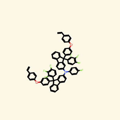 C=Cc1ccc(Oc2ccc(C3(c4ccc(F)c(F)c4F)c4ccccc4-c4ccc(N(c5ccc(F)cc5)c5ccc6c(c5)C(c5ccc(Oc7ccc(C=C)cc7)cc5)(c5ccc(F)c(F)c5F)c5ccccc5-6)cc43)cc2)cc1